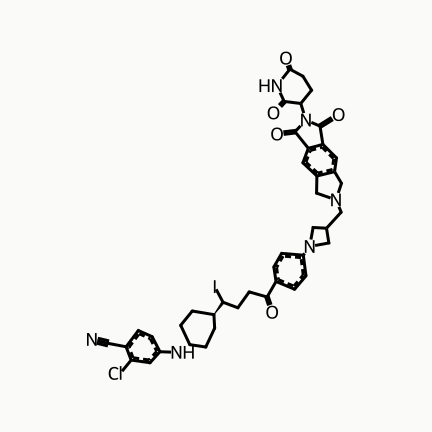 N#Cc1ccc(N[C@H]2CC[C@H](C(I)CCC(=O)c3ccc(N4CC(CN5Cc6cc7c(cc6C5)C(=O)N(C5CCC(=O)NC5=O)C7=O)C4)cc3)CC2)cc1Cl